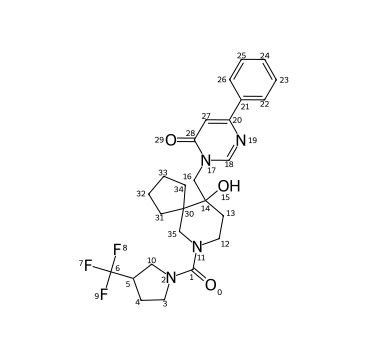 O=C(N1CCC(C(F)(F)F)C1)N1CCC(O)(Cn2cnc(-c3ccccc3)cc2=O)C2(CCCC2)C1